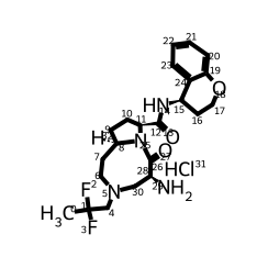 CC(F)(F)CN1CC[C@H]2CC[C@@H](C(=O)N[C@@H]3CCOc4ccccc43)N2C(=O)[C@@H](N)C1.Cl